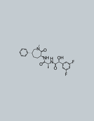 C[C@H](NC(=O)[C@@H](O)c1cc(F)cc(F)c1)C(=O)N[C@H]1CC[C@H](c2ccccc2)CN(C)C1=O